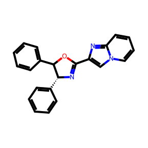 c1ccc(C2OC(c3cn4ccccc4n3)=N[C@@H]2c2ccccc2)cc1